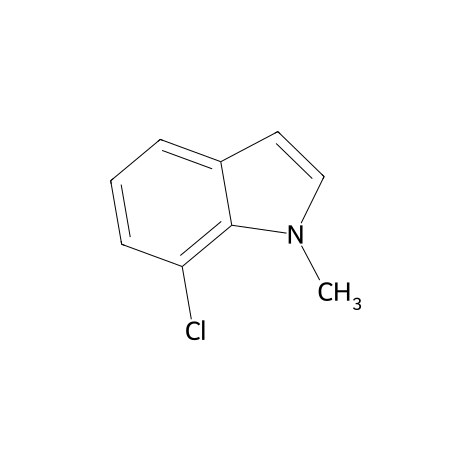 Cn1ccc2cccc(Cl)c21